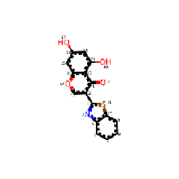 O=c1c(-c2nc3ccccc3s2)coc2cc(O)cc(O)c12